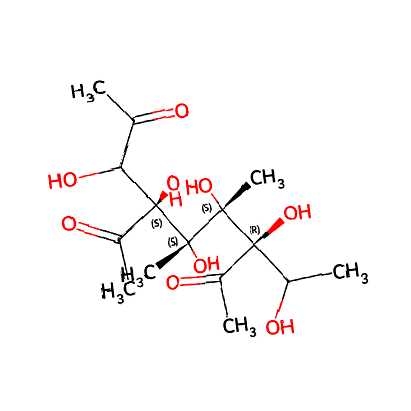 CC(=O)C(O)[C@@](O)(C(C)=O)[C@@](C)(O)[C@](C)(O)[C@@](O)(C(C)=O)C(C)O